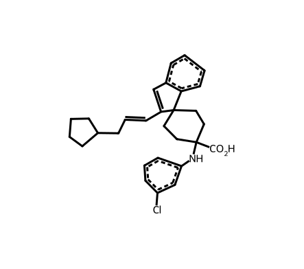 O=C(O)C1(Nc2cccc(Cl)c2)CCC2(CC1)C(/C=C/CC1CCCC1)=Cc1ccccc12